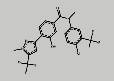 CN(C(=O)c1ccc(-c2cc(C(F)(F)F)n(C)n2)c(O)c1)c1ccc(Cl)c(C(F)(F)F)c1